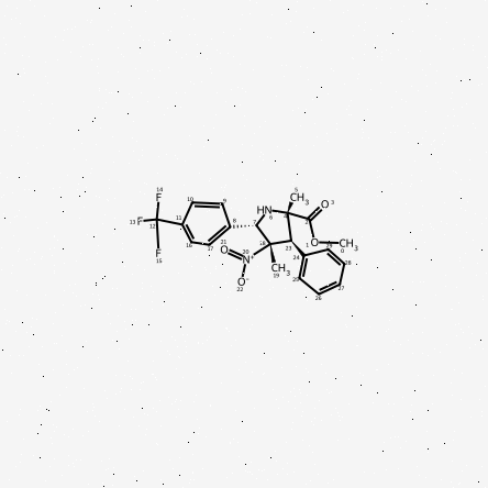 COC(=O)[C@@]1(C)N[C@@H](c2ccc(C(F)(F)F)cc2)[C@@](C)([N+](=O)[O-])[C@@H]1c1ccccc1